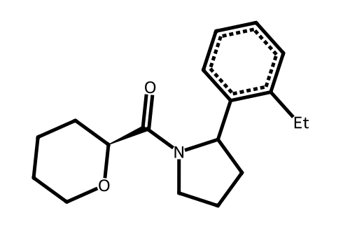 CCc1ccccc1C1CCCN1C(=O)[C@@H]1CCCCO1